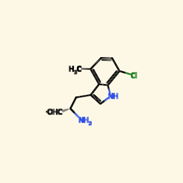 Cc1ccc(Cl)c2[nH]cc(C[C@H](N)[C]=O)c12